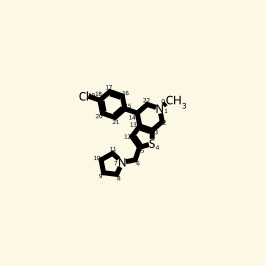 CN1Cc2sc(CN3CCCC3)cc2C(c2ccc(Cl)cc2)C1